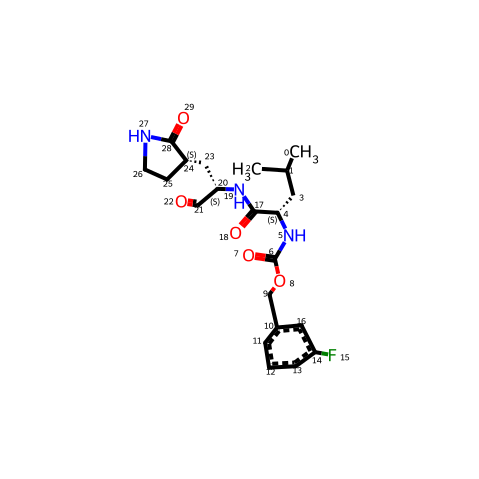 CC(C)C[C@H](NC(=O)OCc1cccc(F)c1)C(=O)N[C@H](C=O)C[C@@H]1CCNC1=O